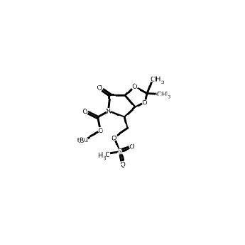 CC(C)(C)OC(=O)N1C(=O)C2OC(C)(C)OC2C1COS(C)(=O)=O